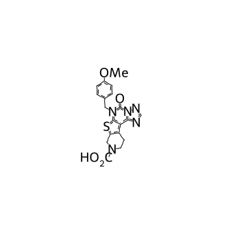 COc1ccc(Cn2c(=O)n3ncnc3c3c4c(sc32)CN(C(=O)O)CC4)cc1